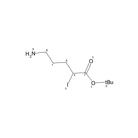 CC(C)(C)OC(=O)C(I)CCCN